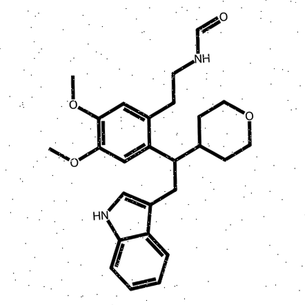 COc1cc(CCNC=O)c(C(Cc2c[nH]c3ccccc23)C2CCOCC2)cc1OC